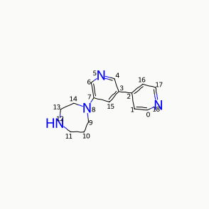 c1cc(-c2cncc(N3CCCNCC3)c2)ccn1